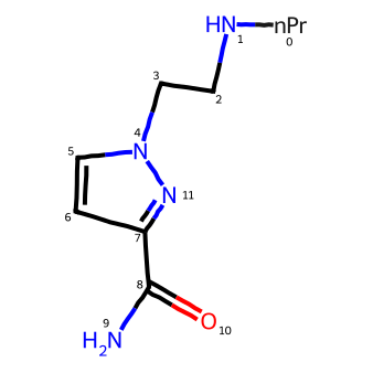 CCCNCCn1ccc(C(N)=O)n1